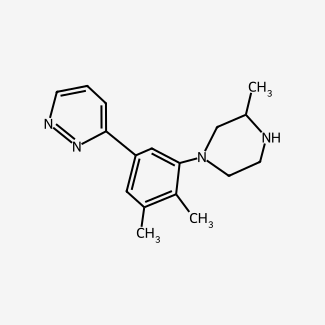 Cc1cc(-c2cccnn2)cc(N2CCNC(C)C2)c1C